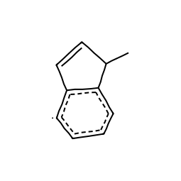 CC1C=Cc2[c]cccc21